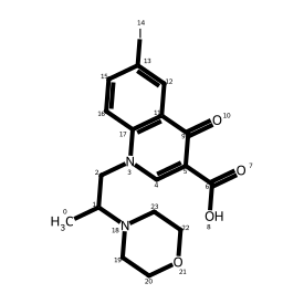 CC(Cn1cc(C(=O)O)c(=O)c2cc(I)ccc21)N1CCOCC1